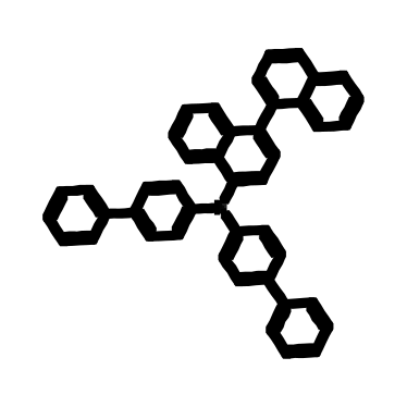 c1ccc(-c2ccc(N(c3ccc(-c4ccccc4)cc3)c3ccc(-c4cccc5ccccc45)c4ccccc34)cc2)cc1